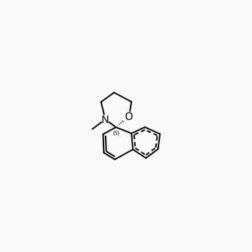 CN1CCCO[C@]12C=C=Cc1ccccc12